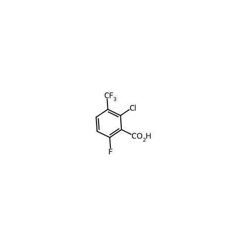 O=C(O)c1c(F)ccc(C(F)(F)F)c1Cl